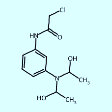 CC(O)N(c1cccc(NC(=O)CCl)c1)C(C)O